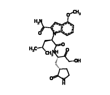 COc1cccc2c1cc(C(N)=O)n2[C@H](CC(C)C)C(=O)N[C@@H](C[C@@H]1CCNC1=O)C(=O)CO